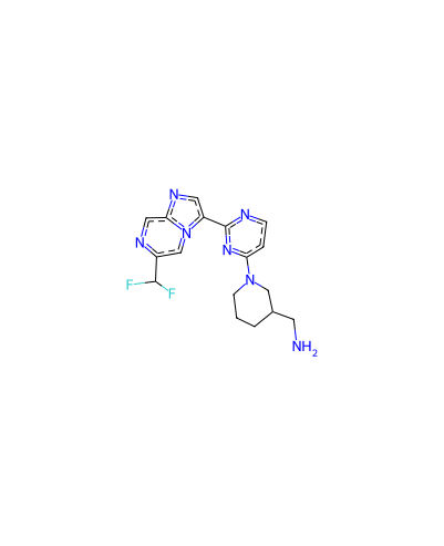 NCC1CCCN(c2ccnc(-c3cnc4cnc(C(F)F)cn34)n2)C1